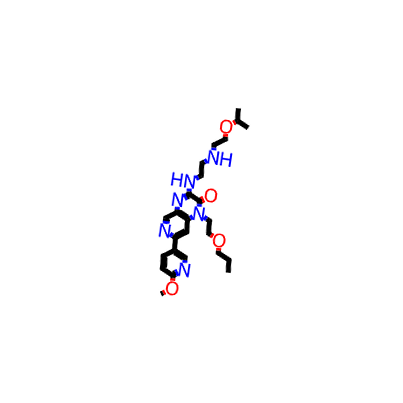 CCCOCCn1c(=O)c(NCCNCCOC(C)C)nc2cnc(-c3ccc(OC)nc3)cc21